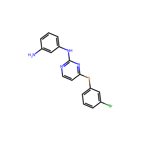 Nc1cccc(Nc2nccc(Sc3cccc(Br)c3)n2)c1